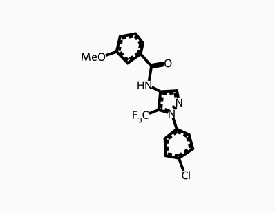 COc1cccc(C(=O)Nc2cnn(-c3ccc(Cl)cc3)c2C(F)(F)F)c1